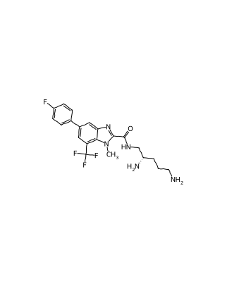 Cn1c(C(=O)NC[C@@H](N)CCCN)nc2cc(-c3ccc(F)cc3)cc(C(F)(F)F)c21